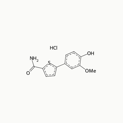 COc1cc(-c2ccc(C(N)=O)s2)ccc1O.Cl